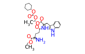 CCOC(=O)[C@H](N)CCC(=O)N[C@H](Cc1c[nH]c2ccccc12)C(=O)OC(C)OC(=O)OC1CCCCC1